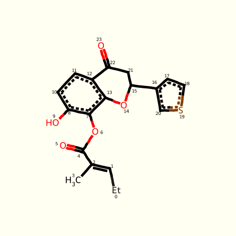 CCC=C(C)C(=O)Oc1c(O)ccc2c1OC(c1ccsc1)CC2=O